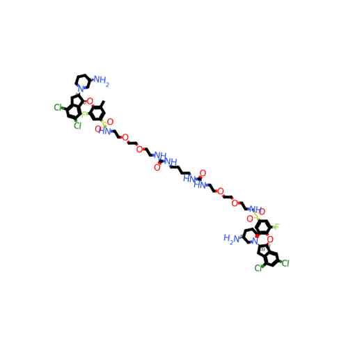 Cc1cc(S(=O)(=O)NCCOCCOCCNC(=O)NCCCCNC(=O)NCCOCCOCCNS(=O)(=O)c2cc(C)c(O[C@H]3c4cc(Cl)cc(Cl)c4C[C@@H]3N3CCC[C@@H](N)C3)c(F)c2)cc(F)c1O[C@H]1c2cc(Cl)cc(Cl)c2C[C@@H]1N1CCC[C@@H](N)C1